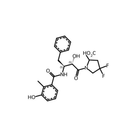 Cc1c(O)cccc1C(=O)N[C@@H](Cc1ccccc1)[C@H](O)C(=O)N1CC(F)(F)CC1C(=O)O